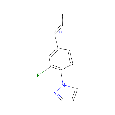 [CH2]/C=C/c1ccc(-n2cccn2)c(F)c1